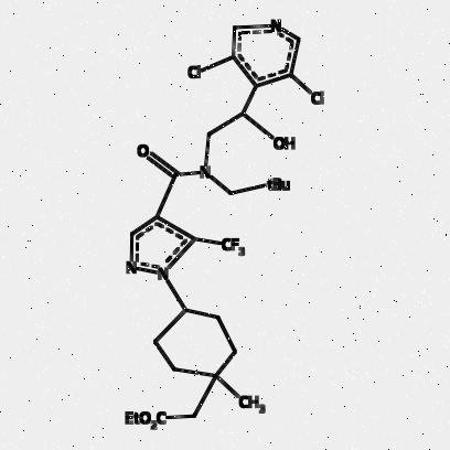 CCOC(=O)CC1(C)CCC(n2ncc(C(=O)N(CC(O)c3c(Cl)cncc3Cl)CC(C)(C)C)c2C(F)(F)F)CC1